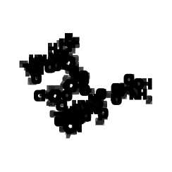 CCS(=O)(=O)c1cccnc1S(=O)(=O)NC(=O)Nc1nc(OC)cc(OC)n1.COC(=O)c1cc(Oc2ccc(Cl)cc2Cl)ccc1[N+](=O)[O-].COc1nc(C)nc(NC(=O)NS(=O)(=O)c2ccccc2CCC(F)(F)F)n1.CP(=O)(O)CCC(N)C(=O)O